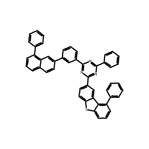 c1ccc(-c2nc(-c3cccc(-c4ccc5cccc(-c6ccccc6)c5c4)c3)nc(-c3ccc4sc5cccc(-c6ccccc6)c5c4c3)n2)cc1